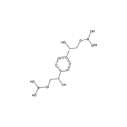 OB(O)OCC(O)c1ccc(C(O)COB(O)O)cc1